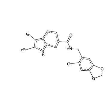 CCCc1[nH]c2cc(C(=O)NCc3cc4c(cc3Cl)OCO4)ccc2c1C(C)=O